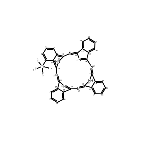 [F][Ti]([F])([F])([F])[c]1cccc2c3nc4nc(nc5[nH]c(nc6nc(nc([nH]3)c12)-c1ccccc1-6)c1ccccc51)-c1ccccc1-4